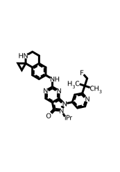 CC(C)n1c(=O)c2cnc(Nc3ccc4c(c3)CCNC43CC3)nc2n1-c1ccnc(C(C)(C)CF)c1